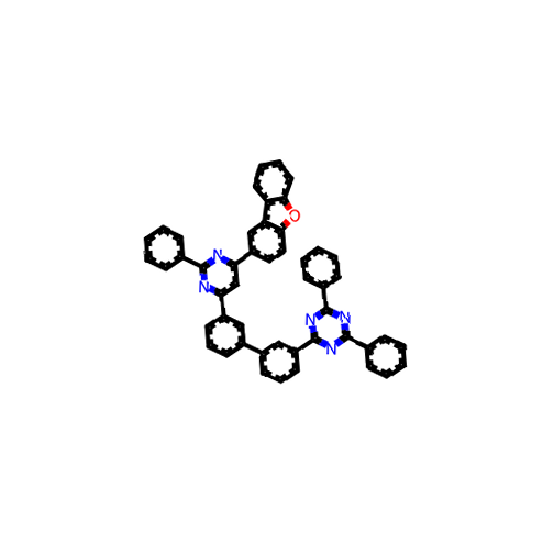 c1ccc(-c2nc(-c3cccc(-c4cccc(-c5nc(-c6ccccc6)nc(-c6ccccc6)n5)c4)c3)cc(-c3ccc4oc5ccccc5c4c3)n2)cc1